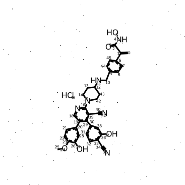 C=C(C(=O)NO)c1ccc(CNC2CCN(c3ncc(-c4ccc(OC)c(O)c4)c(-c4ccc(C#N)c(O)c4)c3C#N)CC2)cc1.Cl